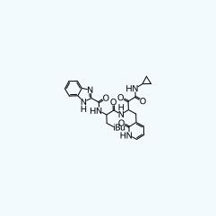 CCC(C)CC(NC(=O)c1nc2ccccc2[nH]1)C(=O)NC(Cc1ccc[nH]c1=O)C(=O)C(=O)NC1CC1